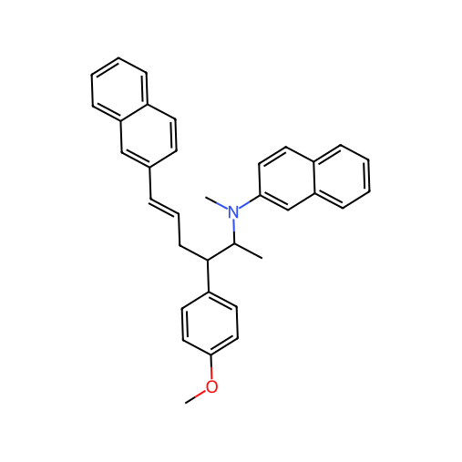 COc1ccc(C(C/C=C/c2ccc3ccccc3c2)C(C)N(C)c2ccc3ccccc3c2)cc1